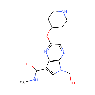 CC(C)(C)NC(O)c1cn(CO)c2ncc(OC3CCNCC3)nc12